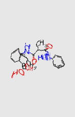 CC[C@]1(NC(=O)C(C)C(=O)Nc2ccccc2)C=CC=CC1B(O)O